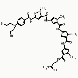 Cn1cc(NC(=O)c2cc(NC(=O)c3cc(NC(=O)c4cc(NC(=O)c5ccc(N(CCBr)CCBr)cc5)nn4C)cn3C)cn2C)cc1C(=O)NCCC(=N)N